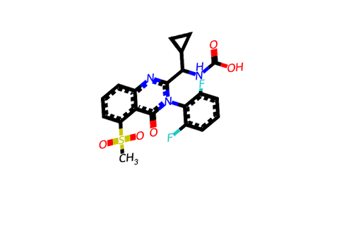 CS(=O)(=O)c1cccc2nc(C(NC(=O)O)C3CC3)n(-c3c(F)cccc3F)c(=O)c12